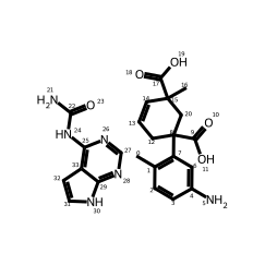 Cc1ccc(N)cc1C1(C(=O)O)CC=CC(C)(C(=O)O)C1.NC(=O)Nc1ncnc2[nH]ccc12